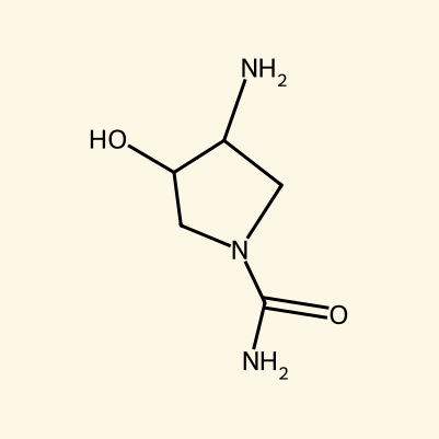 NC(=O)N1CC(N)C(O)C1